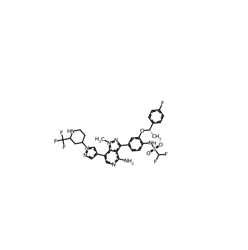 C[C@H](Oc1cc(-c2nn(C)c3c(-c4cnn(C5CCNC(C(F)(F)F)C5)c4)cnc(N)c23)ccc1NS(=O)(=O)C(F)F)c1ccc(F)cc1